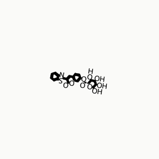 O=C(Oc1ccc2cc(-c3nc4ccccc4s3)c(=O)oc2c1)[C@H]1O[C@@H](O)[C@H](O)[C@@H](O)[C@@H]1O